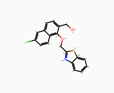 OCc1ccc2cc(F)ccc2c1OCc1nc2ccccc2s1